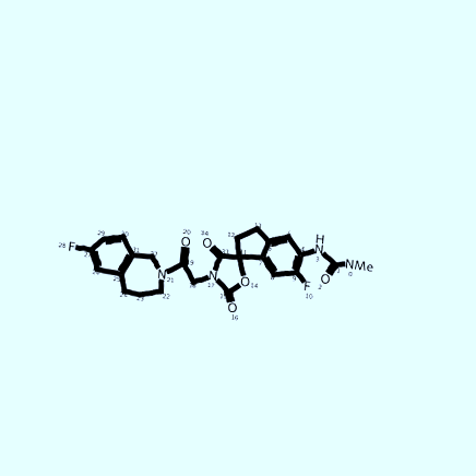 CNC(=O)Nc1cc2c(cc1F)C1(CC2)OC(=O)N(CC(=O)N2CCCc3cc(F)ccc3C2)C1=O